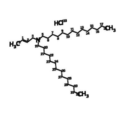 C/C=C/CN(CCCCCCCCCCCCCC)CCCCCCCCCCCCCC.Cl